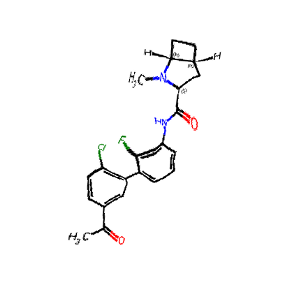 CC(=O)c1ccc(Cl)c(-c2cccc(NC(=O)[C@@H]3C[C@H]4CC[C@H]4N3C)c2F)c1